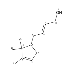 CC1=CCC(C/C=C/CO)C1(C)C